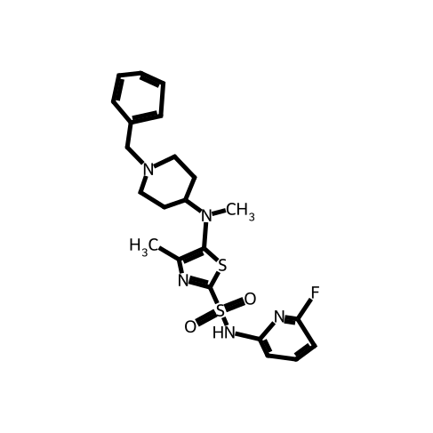 Cc1nc(S(=O)(=O)Nc2cccc(F)n2)sc1N(C)C1CCN(Cc2ccccc2)CC1